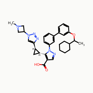 CC(Oc1cccc(-c2cccc(-n3ncc(C(=O)O)c3[C@@H]3C[C@H]3c3cn(C4CN(C)C4)nn3)c2)c1)C1CCCCC1